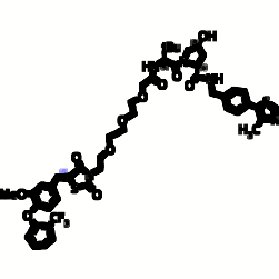 COc1cc(/C=C2\SC(=O)N(CCOCCOCCOCC(=O)N[C@H](C(=O)N3C[C@H](O)C[C@H]3C(=O)NCc3ccc(-c4scnc4C)cc3)C(C)(C)C)C2=O)ccc1Oc1ccccc1C(F)(F)F